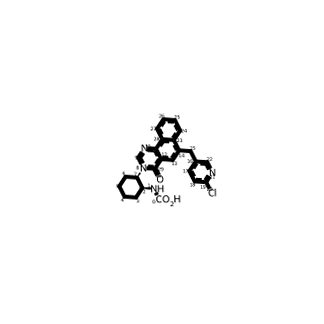 O=C(O)N[C@H]1CCCC[C@@H]1n1cnc2c(cc(Cc3ccc(Cl)nc3)c3ccccc32)c1=O